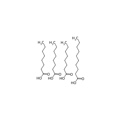 CCCCCCCC(=O)O.CCCCCCCC(=O)O.CCCCCCCC(=O)O.CCCCCCCCCC(=O)O